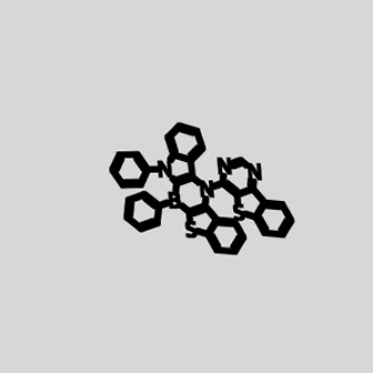 c1ccc(B2c3sc4ccccc4c3N(c3ncnc4c3sc3ccccc34)c3c2n(-c2ccccc2)c2ccccc32)cc1